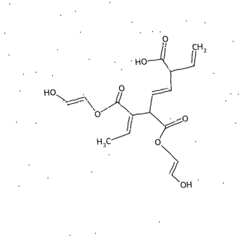 C=CC(C=CC(C(=O)OC=CO)C(=CC)C(=O)OC=CO)C(=O)O